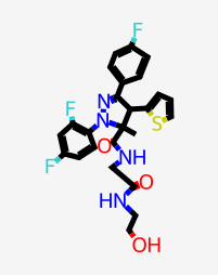 CC1(C(=O)NCC(=O)NCCO)C(c2cccs2)C(c2ccc(F)cc2)=NN1c1ccc(F)cc1F